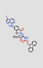 CCc1cc(Nc2nccn3c(I)cnc23)ccc1C(=O)NC[C@@H](NC(=O)OCC1c2ccccc2-c2ccccc21)C(=O)OC